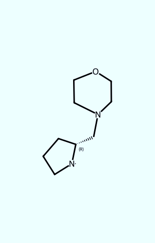 C1C[N][C@@H](CN2CCOCC2)C1